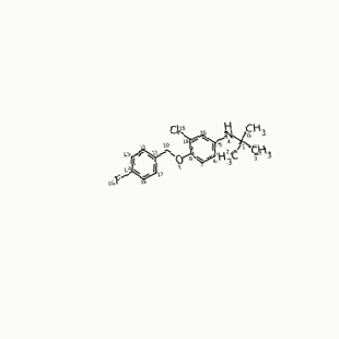 CC(C)(C)Nc1ccc(OCc2ccc(F)cc2)c(Cl)c1